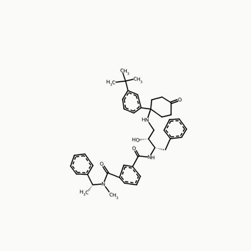 C[C@H](c1ccccc1)N(C)C(=O)c1cccc(C(=O)N[C@@H](Cc2ccccc2)[C@H](O)CNC2(c3cccc(C(C)(C)C)c3)CCC(=O)CC2)c1